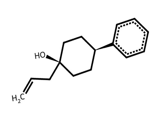 C=CC[C@]1(O)CC[C@@H](c2ccccc2)CC1